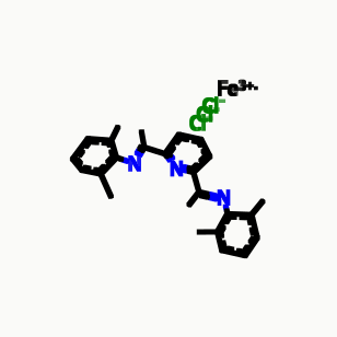 CC(=Nc1c(C)cccc1C)c1cccc(C(C)=Nc2c(C)cccc2C)n1.[Cl-].[Cl-].[Cl-].[Fe+3]